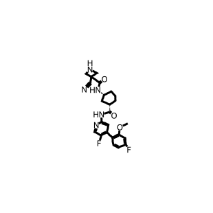 COc1cc(F)ccc1-c1cc(NC(=O)[C@H]2CCC[C@@H](NC(=O)C3(C#N)CNC3)C2)ncc1F